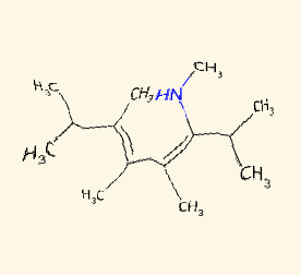 CN/C(=C(C)\C(C)=C(/C)C(C)C)C(C)C